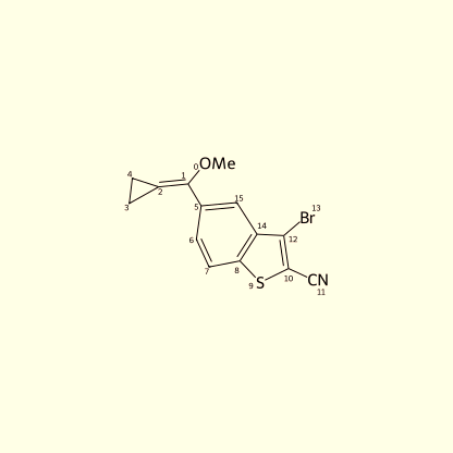 COC(=C1CC1)c1ccc2sc(C#N)c(Br)c2c1